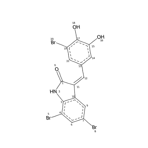 O=C1Nc2c(Br)cc(Br)cc2C1=Cc1cc(O)c(O)c(Br)c1